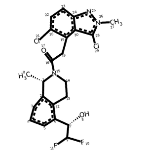 C[C@H]1c2cccc([C@H](O)C(F)F)c2CCN1C(=O)Cc1c(Cl)ccc2nn(C)c(Cl)c12